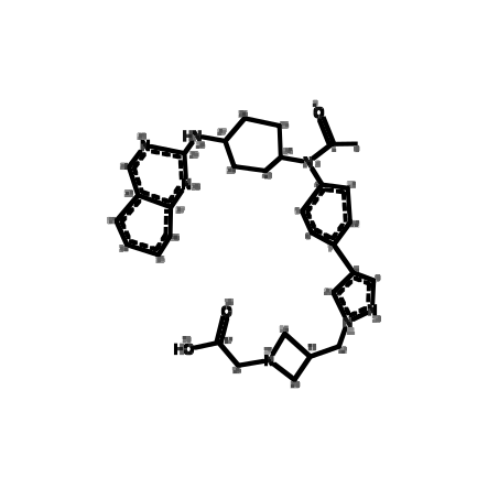 CC(=O)N(c1ccc(-c2cnn(CC3CN(CC(=O)O)C3)c2)cc1)C1CCC(Nc2ncc3ccccc3n2)CC1